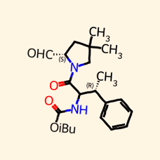 CC(C)COC(=O)NC(C(=O)N1CC(C)(C)C[C@H]1C=O)[C@H](C)c1ccccc1